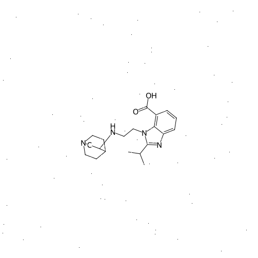 CC(C)c1nc2cccc(C(=O)O)c2n1CCNC1CN2CCC1CC2